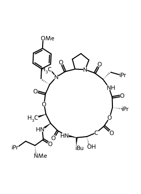 CC[C@H](C)[C@H]1NC(=O)[C@@H](NC(=O)[C@@H](CC(C)C)NC)[C@@H](C)OC(=O)[C@H](Cc2ccc(OC)cc2)N(C)C(=O)C2CCCN2C(=O)[C@H](CC(C)C)NC(=O)[C@H](C(C)C)OC(=O)C[C@@H]1O